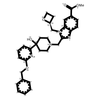 COC(=O)c1ccc2nc(CN3CCC(O)(c4cccc(OCc5ccccc5)n4)CC3)n(C[C@@H]3CCO3)c2c1